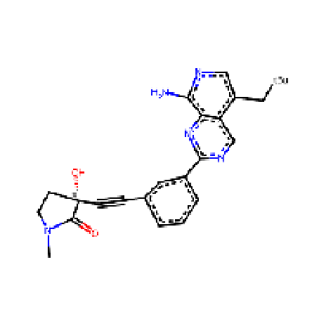 CN1CC[C@@](O)(C#Cc2cccc(-c3ncc4c(CC(C)(C)C)cnc(N)c4n3)c2)C1=O